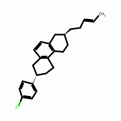 C/C=C/CC[C@H]1CCc2c(ccc3c2CC[C@H](c2ccc(Cl)cc2)C3)C1